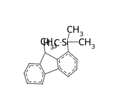 CC1c2ccccc2-c2cccc([Si](C)(C)C)c21